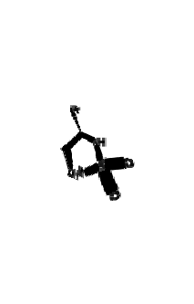 CC(C)[C@@H](CO)NS(=O)(=O)Br